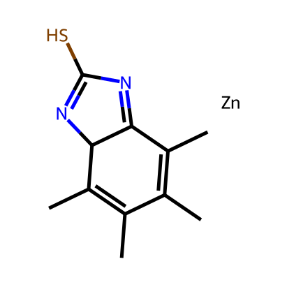 CC1=C(C)C(C)=C(C)C2N=C(S)N=C12.[Zn]